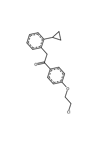 O=C(Cc1ccccc1C1CC1)c1ccc(OCCCl)cc1